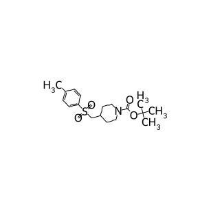 Cc1ccc(S(=O)(=O)CC2CCN(C(=O)OC(C)(C)C)CC2)cc1